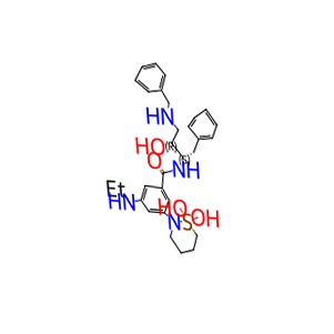 CCNc1cc(C(=O)N[C@@H](Cc2ccccc2)[C@H](O)CNCc2ccccc2)cc(N2CCCCS2(O)O)c1